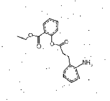 CCOC(=O)c1ccccc1OC(=O)CCc1ccccc1N